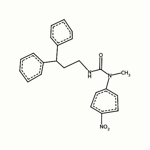 CN(C(=O)NCCC(c1ccccc1)c1ccccc1)c1ccc([N+](=O)[O-])cc1